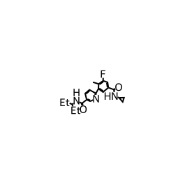 CCC(CC)NC(=O)c1ccc(-c2cc(C(=O)NC3CC3)cc(F)c2C)nc1